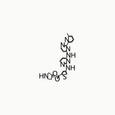 Cc1cccc(-c2nccc(Nc3ccnc(Nc4csc(C(=O)O[C@H]5CCNC5)c4)n3)n2)n1